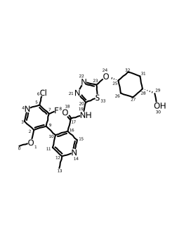 COc1cnc(Cl)c(F)c1-c1cc(C)ncc1C(=O)Nc1nnc(O[C@H]2CC[C@@H](CO)CC2)s1